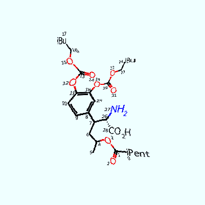 CCCC(C)C(=O)OC(C)CC(c1ccc(OC(=O)OCC(C)CC)c(OC(=O)OCC(C)CC)c1)[C@H](N)C(=O)O